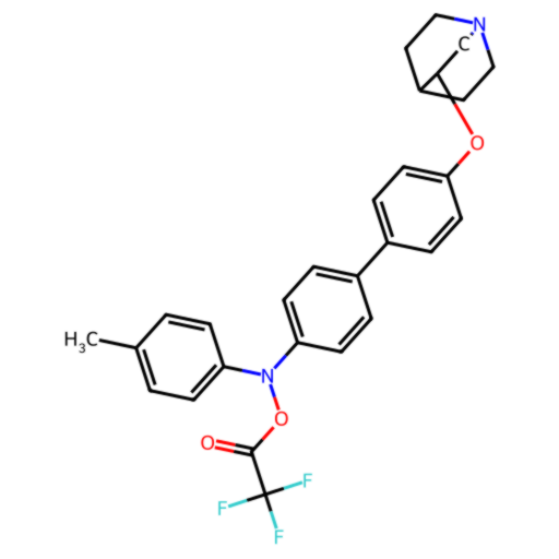 Cc1ccc(N(OC(=O)C(F)(F)F)c2ccc(-c3ccc(OC4CN5CCC4CC5)cc3)cc2)cc1